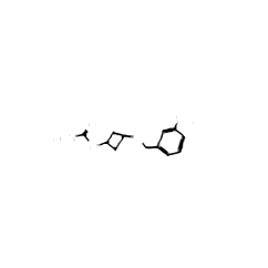 NC(=O)OC1CC(OCc2cccc(C(F)(F)F)c2)C1